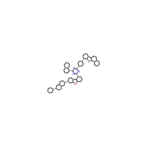 c1ccc(-c2ccc3cc(-c4ccc5c(c4)oc4cccc(-c6nc(-c7ccc(-c8cccc9c8sc8c%10ccccc%10ccc98)cc7)nc(-c7cccc8ccccc78)n6)c45)ccc3c2)cc1